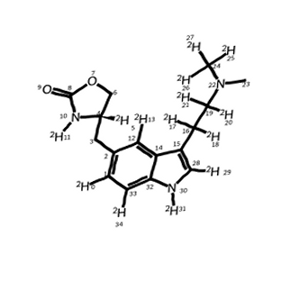 [2H]c1c(C[C@@]2([2H])COC(=O)N2[2H])c([2H])c2c(C([2H])([2H])C([2H])([2H])N(C)C([2H])([2H])[2H])c([2H])n([2H])c2c1[2H]